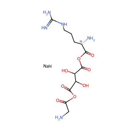 N=C(N)NCCC[C@H](N)C(=O)OC(=O)C(O)C(O)C(=O)OC(=O)CN.[NaH]